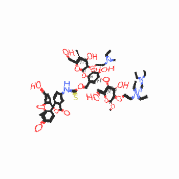 CCN(C)CCOC1[C@H](O[C@@H]2C(COC(=S)Nc3ccc4c(c3)C(=O)OC43c4ccc(O)cc4OC4=CC(=O)C=CC43)C[C@@H](O[C@@H]3C(CO)O[C@@H](OC)C(OCC[N+](CC)(CC)CN(CC)CC)[C@H]3O)C(O)[C@H]2O)OC(CO)[C@@H](C)[C@@H]1O